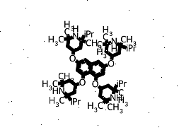 CC(C)C1(C)CC(Oc2cc(OC3CC(C)(C)NC(C)(C(C)C)C3)c3c(OC4CC(C)(C)NC(C)(C(C)C)C4)cc(OC4CC(C)(C)NC(C)(C(C)C)C4)cc3c2)CC(C)(C)N1